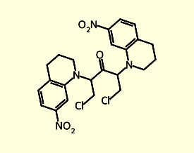 O=C(C(CCl)N1CCCc2ccc([N+](=O)[O-])cc21)C(CCl)N1CCCc2ccc([N+](=O)[O-])cc21